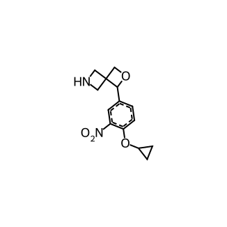 O=[N+]([O-])c1cc(C2OCC23CNC3)ccc1OC1CC1